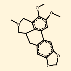 COc1cc2c3c(c1OC)CN(C)CC3Cc1cc3c(cc1-2)OCO3